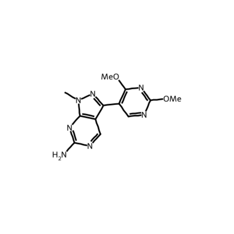 COc1ncc(-c2nn(C)c3nc(N)ncc23)c(OC)n1